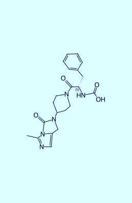 Cc1ncc2n1C(=O)N(C1CCN(C(=O)[C@H](Cc3ccccc3)NC(=O)O)CC1)C2